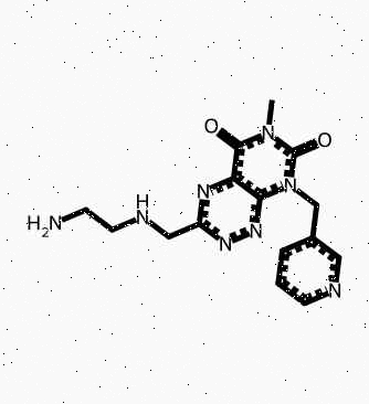 Cn1c(=O)c2nc(CNCCN)nnc2n(Cc2cccnc2)c1=O